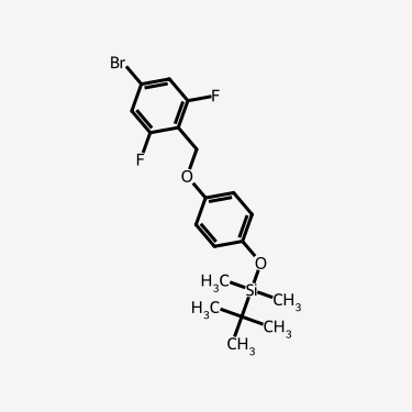 CC(C)(C)[Si](C)(C)Oc1ccc(OCc2c(F)cc(Br)cc2F)cc1